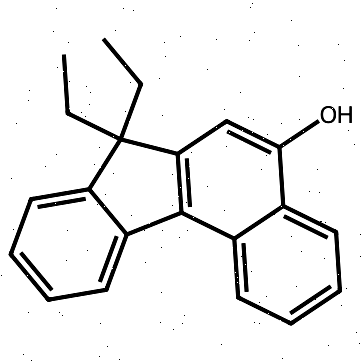 CCC1(CC)c2ccccc2-c2c1cc(O)c1ccccc21